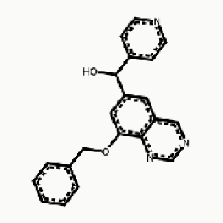 OC(c1ccncc1)c1cc(OCc2ccccc2)c2ncncc2c1